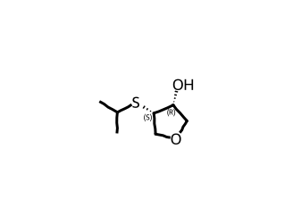 CC(C)S[C@H]1COC[C@H]1O